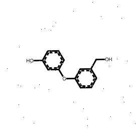 OCc1cccc(Oc2cccc(O)c2)c1